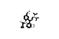 CC(C)N(CCC(c1ccccc1)c1cc(CO)ccc1OC(=O)C1CC1)C(C)C.Cl